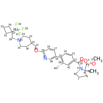 COC(=O)[C@]1(C)CCCN1C(=O)c1ccc(-c2ccc(OCC3CCN(CC4(C(F)(F)F)CCC4)CC3)nc2)c(F)c1